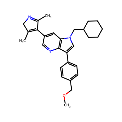 COCc1ccc(-c2cn(CC3CCCCC3)c3cc(C4=C(C)CN=C4C)cnc23)cc1